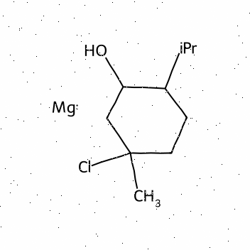 CC(C)C1CCC(C)(Cl)CC1O.[Mg]